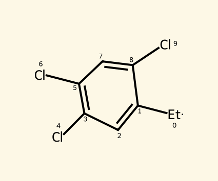 C[CH]c1cc(Cl)c(Cl)cc1Cl